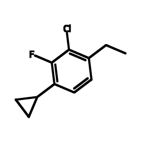 CCc1ccc(C2CC2)c(F)c1Cl